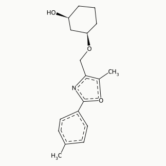 Cc1ccc(-c2nc(CO[C@@H]3CCC[C@H](O)C3)c(C)o2)cc1